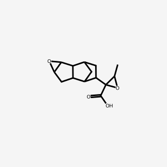 CC1OC1(C(=O)O)C1CC2CC1C1CC3OC3C21